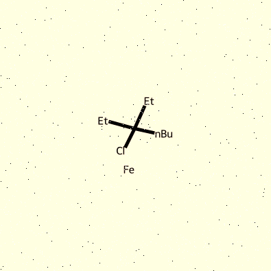 CCCCC(Cl)(CC)CC.[Fe]